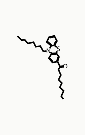 CCCCCCCCC(=O)c1ccc2c(c1)Sc1ccccc1N2CCCCCCCC